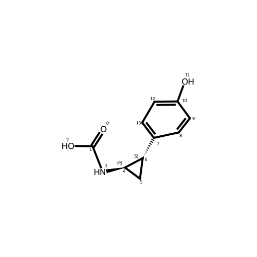 O=C(O)N[C@@H]1C[C@H]1c1ccc(O)cc1